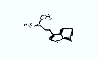 CN(C)CCc1csc2ccccc12